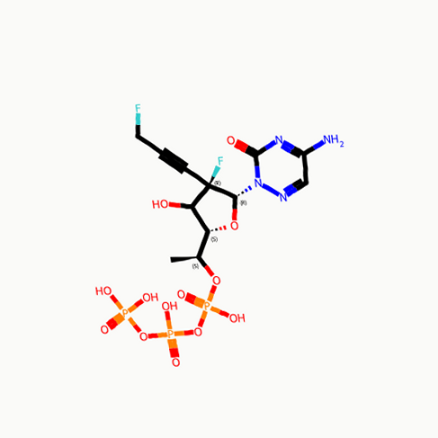 C[C@H](OP(=O)(O)OP(=O)(O)OP(=O)(O)O)[C@H]1O[C@@H](n2ncc(N)nc2=O)[C@@](F)(C#CCF)C1O